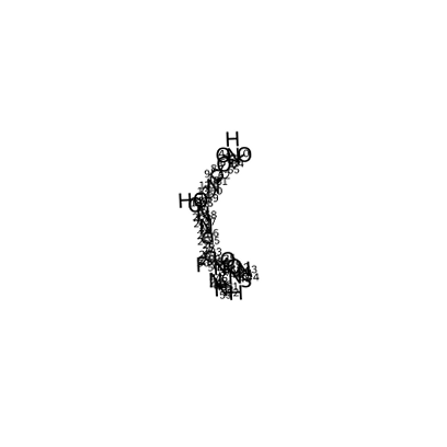 O=C1NC(=O)C2(Oc3ccc(N4CCC(O)(CC(=O)N5CCN(c6ccc(-c7cc(F)c8c(c7)C(=O)N(C(C(=O)Nc7nccs7)c7ncn9c7CCC9)C8)cc6)CC5)CC4)cc3)CC1C2